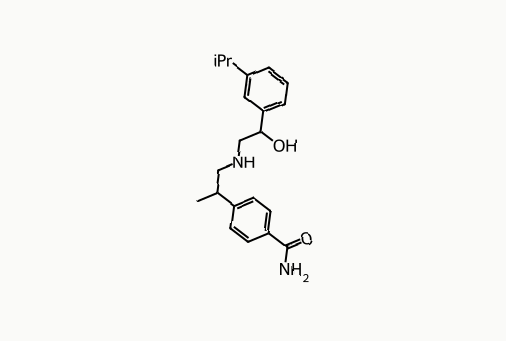 CC(C)c1cccc(C(O)CNCC(C)c2ccc(C(N)=O)cc2)c1